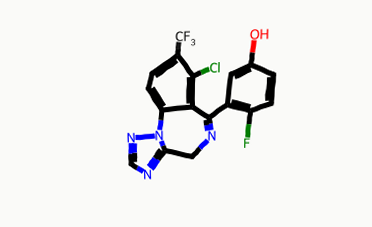 Oc1ccc(F)c(C2=NCc3ncnn3-c3ccc(C(F)(F)F)c(Cl)c32)c1